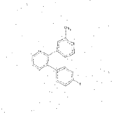 Cc1cccc(-c2ncccc2-c2ccc(F)cc2)c1